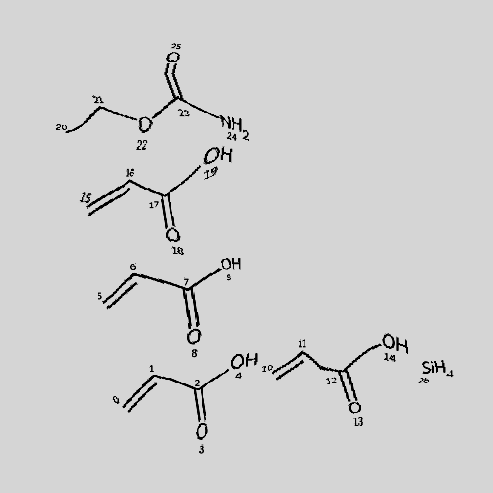 C=CC(=O)O.C=CC(=O)O.C=CC(=O)O.C=CC(=O)O.CCOC(N)=O.[SiH4]